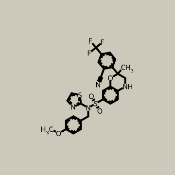 COc1ccc(CN(c2nccs2)S(=O)(=O)c2ccc3c(c2)OC(C)(c2ccc(C(F)(F)F)cc2C#N)CN3)cc1